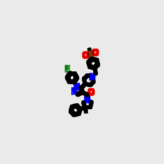 CC1(c2ccccc2)CCN(C(=O)c2cnn(-c3ccc(F)cc3)c2C2CCN(Cc3ccc(S(C)(=O)=O)cc3)CC2)C1